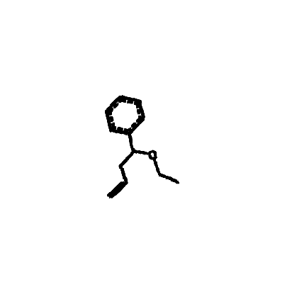 C=CCC(OCC)c1ccccc1